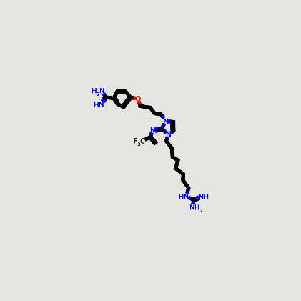 C=C(/N=c1\n(CCCCCCCCNC(=N)N)ccn1CCCCOc1ccc(C(=N)N)cc1)C(F)(F)F